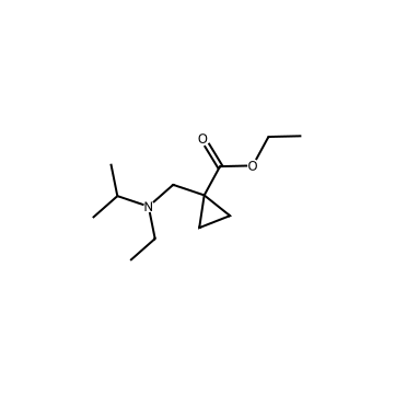 CCOC(=O)C1(CN(CC)C(C)C)CC1